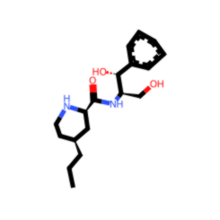 CCC[C@H]1CCN[C@@H](C(=O)N[C@H](CO)[C@H](O)c2ccccc2)C1